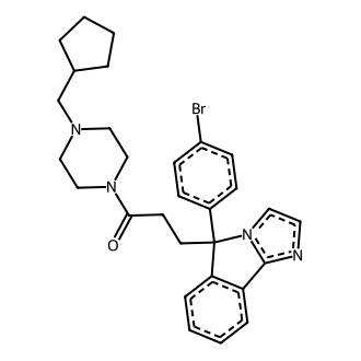 O=C(CCC1(c2ccc(Br)cc2)c2ccccc2-c2nccn21)N1CCN(CC2CCCC2)CC1